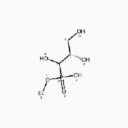 CCOP(=O)(O)C(O)[C@@H](O)CO